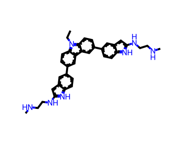 CCn1c2ccc(-c3ccc4[nH]c(NCCNC)cc4c3)cc2c2cc(-c3ccc4[nH]c(NCCNC)cc4c3)ccc21